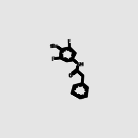 CC(C)(C)c1c(F)cc(NC(=O)Cc2ccccc2)cc1F